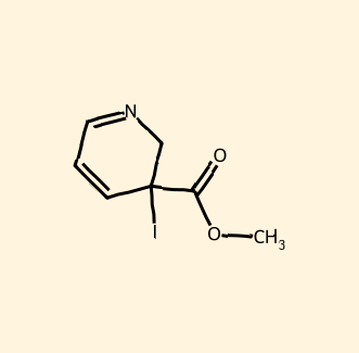 COC(=O)C1(I)C=CC=NC1